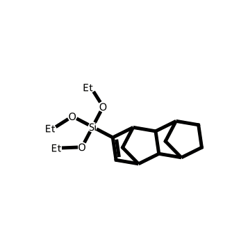 CCO[Si](OCC)(OCC)C1=CC2CC1C1C3CCC(C3)C21